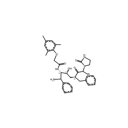 Cc1cc(C)c(OCC(=O)N[C@@H](C(N)c2ccccc2)[C@@H](O)C[C@H](Cc2ccccc2)C(=O)C(C(C)C)N2CCNC2=O)c(C)c1